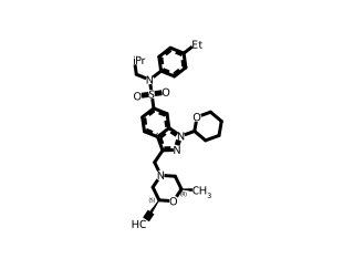 C#C[C@H]1CN(Cc2nn(C3CCCCO3)c3cc(S(=O)(=O)N(CC(C)C)c4ccc(CC)cc4)ccc23)C[C@@H](C)O1